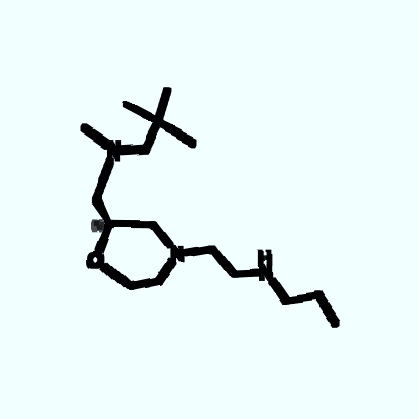 CCCNCCN1CCO[C@@H](CN(C)CC(C)(C)C)C1